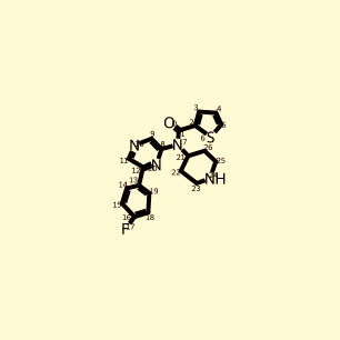 O=C(c1cccs1)N(c1cncc(-c2ccc(F)cc2)n1)C1CCNCC1